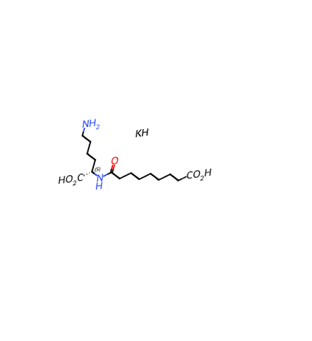 NCCCC[C@H](NC(=O)CCCCCCCC(=O)O)C(=O)O.[KH]